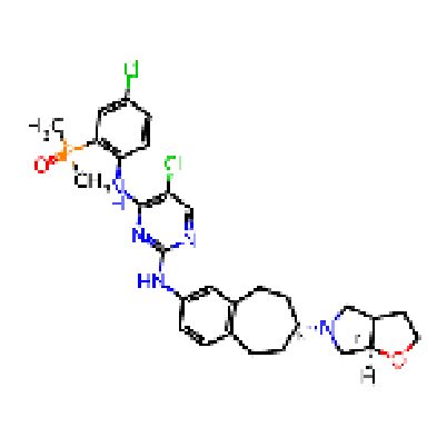 CP(C)(=O)c1cc(Cl)ccc1Nc1nc(Nc2ccc3c(c2)CC[C@H](N2CC4CCO[C@H]4C2)CC3)ncc1Cl